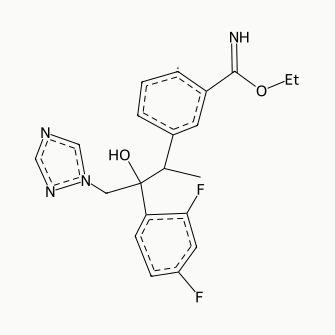 CCOC(=N)c1[c]ccc(C(C)C(O)(Cn2cncn2)c2ccc(F)cc2F)c1